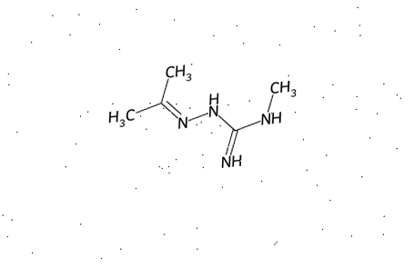 CNC(=N)NN=C(C)C